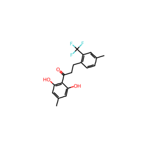 Cc1cc(O)c(C(=O)CCc2ccc(C)cc2C(F)(F)F)c(O)c1